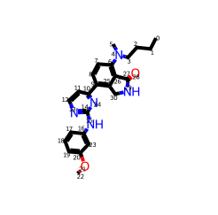 CCCCN(C)c1ccc(-c2ccnc(Nc3cccc(OC)c3)n2)c2c1C(=O)NC2